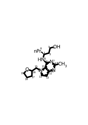 CCC[C@@H](CCO)Nc1nc(C)nc2ccn(CC3CCCO3)c12